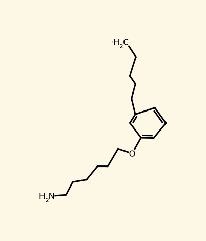 [CH2]CCCCc1cccc(OCCCCCCN)c1